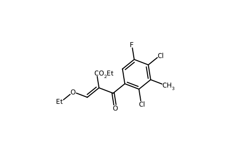 CCO/C=C(\C(=O)OCC)C(=O)c1cc(F)c(Cl)c(C)c1Cl